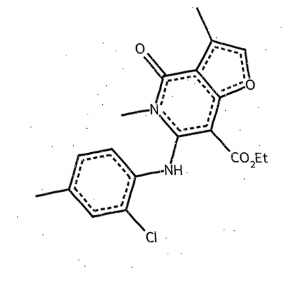 CCOC(=O)c1c(Nc2ccc(C)cc2Cl)n(C)c(=O)c2c(C)coc12